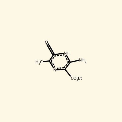 CCOC(=O)c1nc(C)c(=O)[nH]c1N